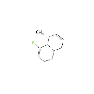 FC1=CCCC2CC=CCC12.[CH2]